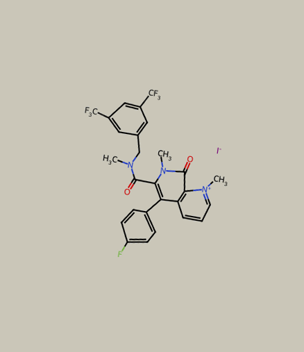 CN(Cc1cc(C(F)(F)F)cc(C(F)(F)F)c1)C(=O)c1c(-c2ccc(F)cc2)c2ccc[n+](C)c2c(=O)n1C.[I-]